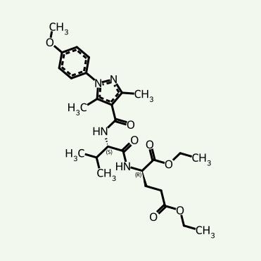 CCOC(=O)CC[C@@H](NC(=O)[C@@H](NC(=O)c1c(C)nn(-c2ccc(OC)cc2)c1C)C(C)C)C(=O)OCC